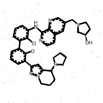 O[C@@H]1CCN(Cc2cnc3c(Nc4cccc(-c5cccc(-c6cc7n(n6)CCCC7N6CCCC6)c5Cl)c4Cl)nccc3c2)C1